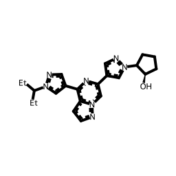 CCC(CC)n1cc(-c2nc(-c3cnn(C4CCC[C@H]4O)c3)cn3nccc23)cn1